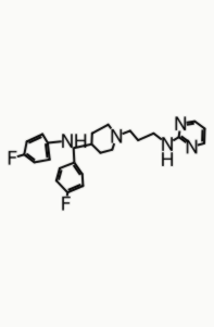 Fc1ccc(NC(c2ccc(F)cc2)C2CCN(CCCNc3ncccn3)CC2)cc1